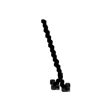 CCCCCCCCCCCCCCCCCCCCCCCC[SH](CCC(=O)O)CCC(=O)O